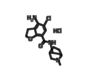 CN1CC2CCC1CC2NC(=O)c1cc(Cl)c(N)c2c1OCC2.Cl